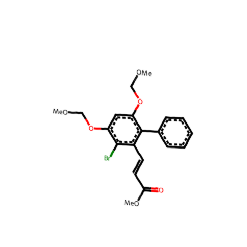 COCOc1cc(OCOC)c(-c2ccccc2)c(/C=C/C(=O)OC)c1Br